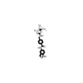 CC(C)(C)OC(=O)NCc1ccc(C(=O)Nc2ccc3[nH]ncc3c2)cc1